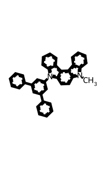 Cn1c2ccccc2c2c3c4ccccc4n(-c4cc(-c5ccccc5)cc(-c5ccccc5)c4)c3ccc21